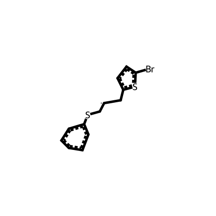 Brc1ccc(C[CH]CSc2ccccc2)s1